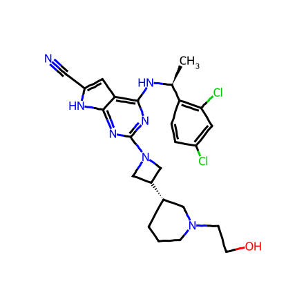 C[C@H](Nc1nc(N2CC([C@H]3CCCN(CCO)C3)C2)nc2[nH]c(C#N)cc12)c1ccc(Cl)cc1Cl